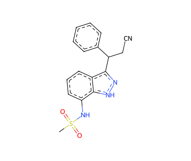 CS(=O)(=O)Nc1cccc2c(C(CC#N)c3ccccc3)n[nH]c12